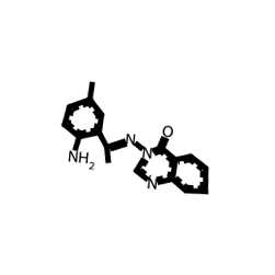 C/C(=N\n1cnc2ccccc2c1=O)c1cc(C)ccc1N